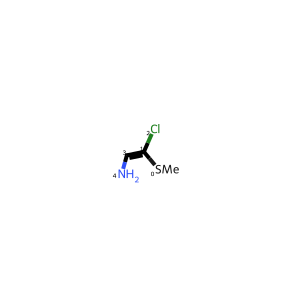 CS/C(Cl)=C\N